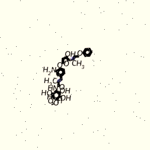 C/C(=C\c1ccc(O[C@H]2C[C@H](O)[C@@H](/C(C)=C/COc3ccccc3)O2)c(N)c1)C(=O)N[C@@H]1[C@H](O)[C@@H](O)[C@H]2OCO[C@H]2[C@@H]1O